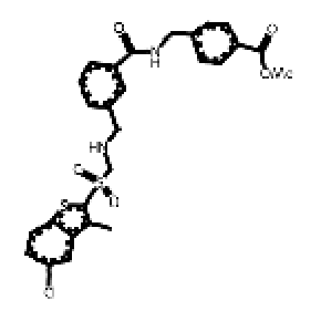 COC(=O)c1ccc(CNC(=O)c2cccc(CNCS(=O)(=O)c3sc4ccc(Cl)cc4c3C)c2)cc1